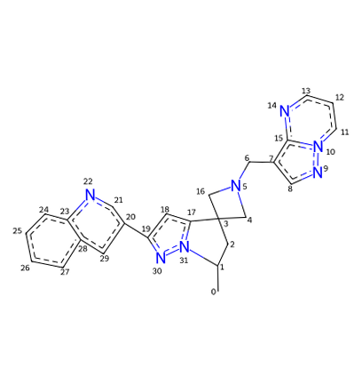 CC1CC2(CN(Cc3cnn4cccnc34)C2)c2cc(-c3cnc4ccccc4c3)nn21